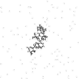 O=C(Nc1cccc(C(=O)Nc2c(Br)cc(C(F)(C(F)(F)F)C(F)(F)F)cc2OC(F)F)c1F)c1cccc(F)c1F